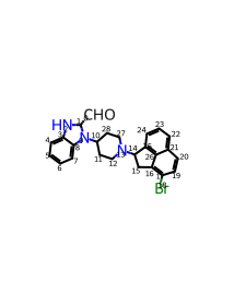 O=CC1Nc2ccccc2N1C1CCN(C2Cc3c(Br)ccc4cccc2c34)CC1